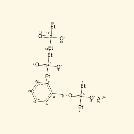 CCP(=O)([O-])CC.CCP(=O)([O-])CC.CCP(=O)([O-])CC.Cc1ccccc1.[Al+3]